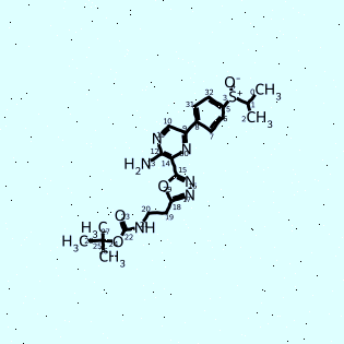 CC(C)[S+]([O-])c1ccc(-c2cnc(N)c(-c3nnc(CCNC(=O)OC(C)(C)C)o3)n2)cc1